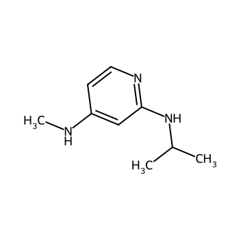 CNc1ccnc(NC(C)C)c1